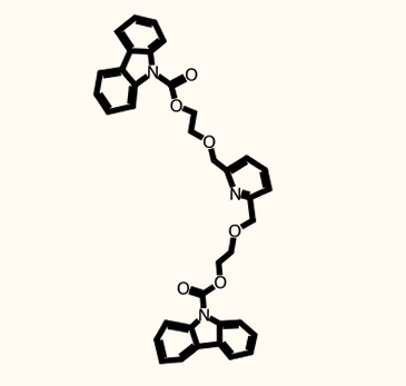 O=C(OCCOCc1cccc(COCCOC(=O)n2c3ccccc3c3ccccc32)n1)n1c2ccccc2c2ccccc21